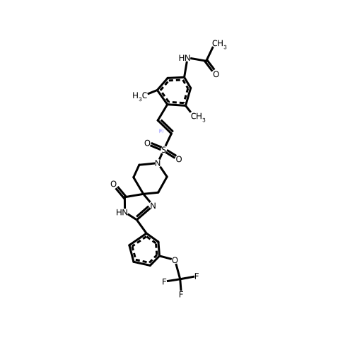 CC(=O)Nc1cc(C)c(/C=C/S(=O)(=O)N2CCC3(CC2)N=C(c2cccc(OC(F)(F)F)c2)NC3=O)c(C)c1